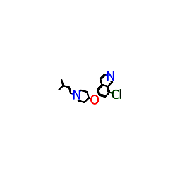 CC(C)CCN1CCC(Oc2cc(Cl)c3cnccc3c2)CC1